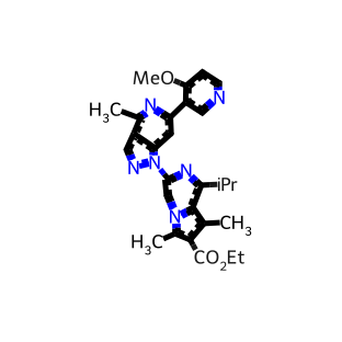 CCOC(=O)c1c(C)c2c(C(C)C)nc(-n3ncc4c(C)nc(-c5cnccc5OC)cc43)cn2c1C